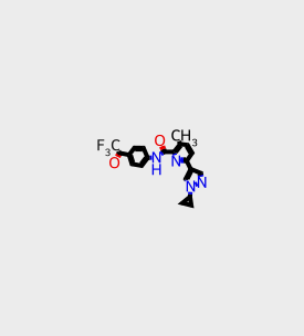 Cc1ccc(-c2cnn(C3CC3)c2)nc1C(=O)Nc1ccc(C(=O)C(F)(F)F)cc1